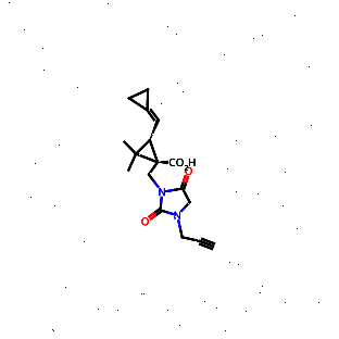 C#CCN1CC(=O)N(C[C@@]2(C(=O)O)[C@H](C=C3CC3)C2(C)C)C1=O